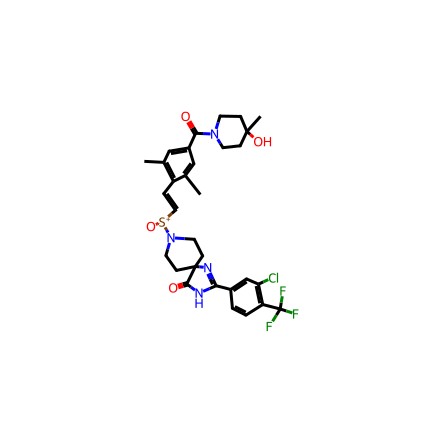 Cc1cc(C(=O)N2CCC(C)(O)CC2)cc(C)c1/C=C/[S+]([O-])N1CCC2(CC1)N=C(c1ccc(C(F)(F)F)c(Cl)c1)NC2=O